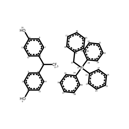 Oc1ccc(C(c2ccc(O)cc2)C(F)(F)F)cc1.c1ccc(C[P+](c2ccccc2)(c2ccccc2)c2ccccc2)cc1